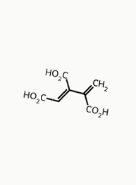 C=C(C(=O)O)C(=CC(=O)O)C(=O)O